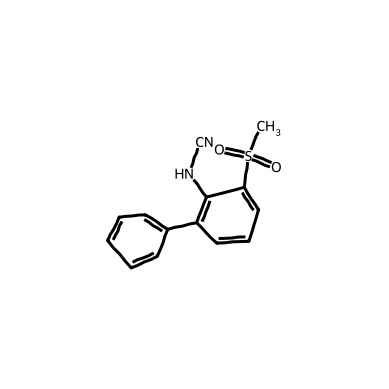 CS(=O)(=O)c1cccc(-c2ccccc2)c1NC#N